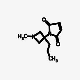 CCCC1(N2C(=O)C=CC2=O)CN(C)C1